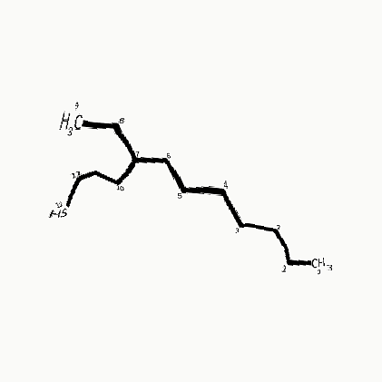 CCCCCCCC(CC)CCS